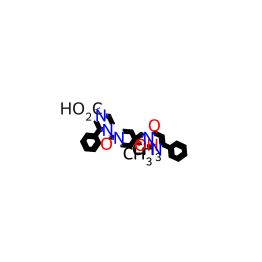 CC1(C)CN(C(=O)N2CCN(C(=O)O)CC2c2ccccc2)CCC1(O)Cn1cnc(-c2ccccc2)cc1=O